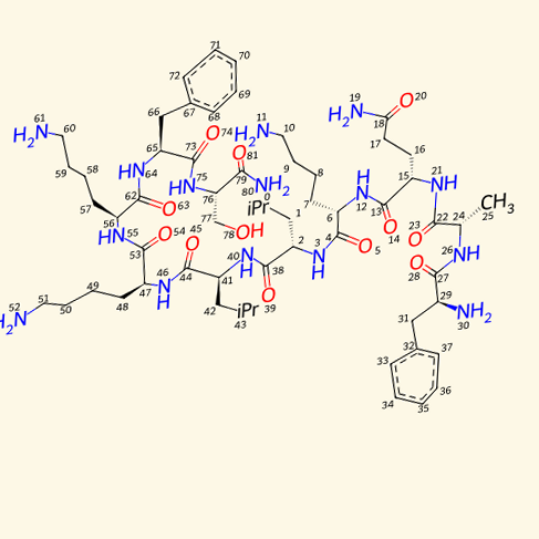 CC(C)C[C@H](NC(=O)[C@H](CCCCN)NC(=O)[C@H](CCC(N)=O)NC(=O)[C@H](C)NC(=O)[C@@H](N)Cc1ccccc1)C(=O)N[C@@H](CC(C)C)C(=O)N[C@@H](CCCCN)C(=O)N[C@@H](CCCCN)C(=O)N[C@@H](Cc1ccccc1)C(=O)N[C@@H](CO)C(N)=O